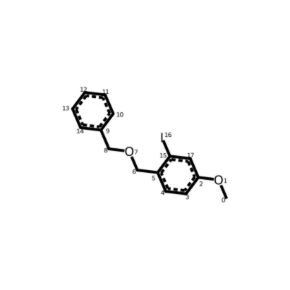 COc1ccc(COCc2ccccc2)c(I)c1